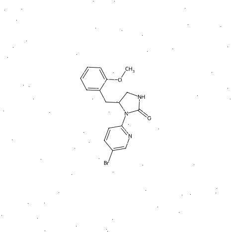 COc1ccccc1CC1CNC(=O)N1c1ccc(Br)cn1